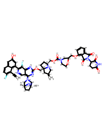 C#Cc1c(F)ccc2cc(O)cc(-c3ncc4c(N5C[C@H]6CC[C@@H](C5)N6)nc(OC[C@@]56CC[C@@H](COC(=O)N7CCOC(COc8cccc9c8C(=O)N(C8CCC(=O)NC8=O)C9=O)C7)N5CC(=C)C6)nc4c3F)c12